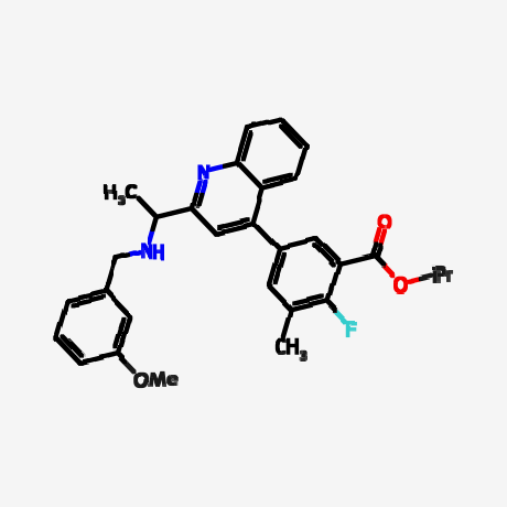 COc1cccc(CNC(C)c2cc(-c3cc(C)c(F)c(C(=O)OC(C)C)c3)c3ccccc3n2)c1